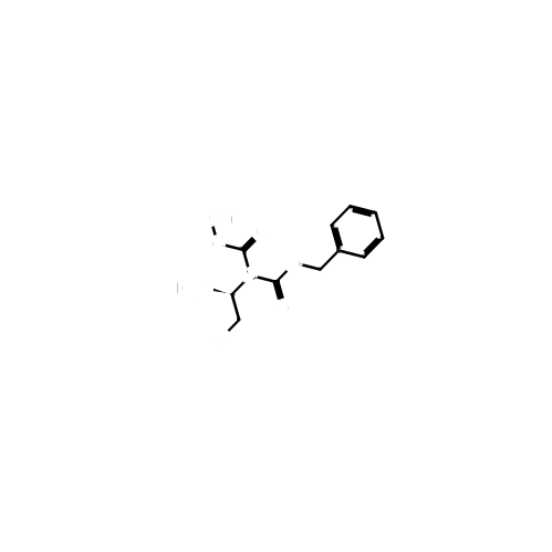 CC(C)(C)OC(=O)N(C(=O)OCc1ccccc1)[C@@H](CO)C(=O)O